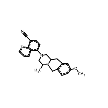 COc1ccc2c(c1)CC1CN(c3ccc(C#N)c4ncccc34)CC(C)N1C2